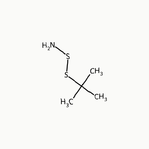 CC(C)(C)SSN